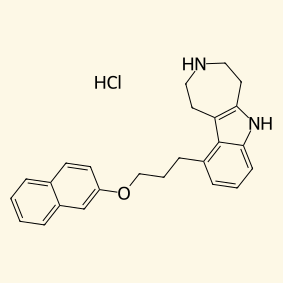 Cl.c1ccc2cc(OCCCc3cccc4[nH]c5c(c34)CCNCC5)ccc2c1